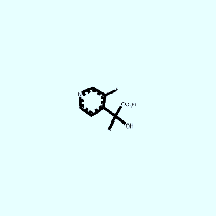 CCOC(=O)C(C)(O)c1ccncc1F